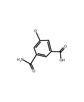 NC(=O)c1cc([O])cc(C(=O)O)c1